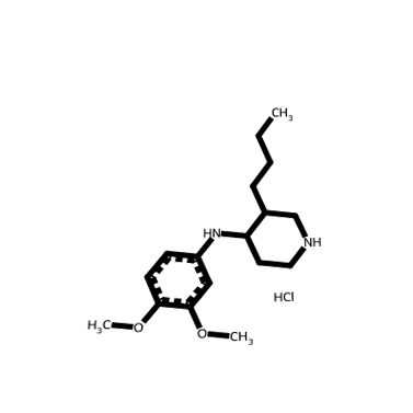 CCCCC1CNCCC1Nc1ccc(OC)c(OC)c1.Cl